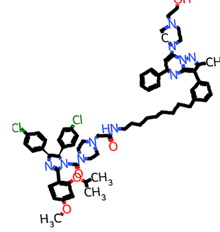 COc1ccc(C2=N[C@@H](c3ccc(Cl)cc3)[C@@H](c3ccc(Cl)cc3)N2C(=O)N2CCN(CC(=O)NCCCCCCCCCc3cccc(-c4c(C)nn5c(N6CCN(CCO)CC6)cc(-c6ccccc6)nc45)c3)CC2)c(OC(C)C)c1